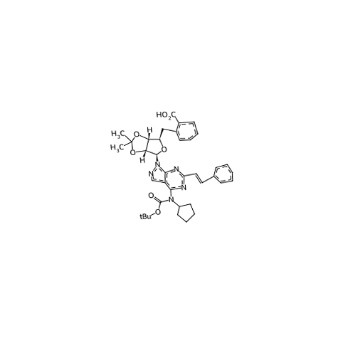 CC(C)(C)OC(=O)N(c1nc(/C=C/c2ccccc2)nc2c1cnn2[C@@H]1O[C@H](Cc2ccccc2C(=O)O)[C@H]2OC(C)(C)O[C@H]21)C1CCCC1